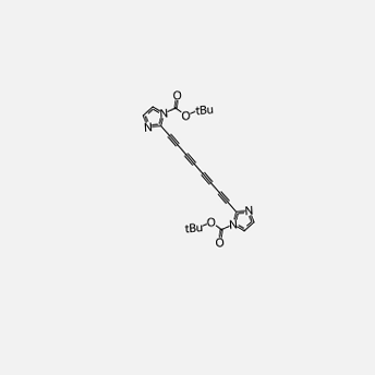 CC(C)(C)OC(=O)n1ccnc1C#CC#CC#CC#Cc1nccn1C(=O)OC(C)(C)C